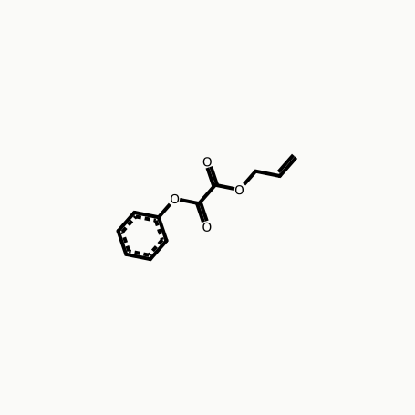 C=CCOC(=O)C(=O)Oc1ccccc1